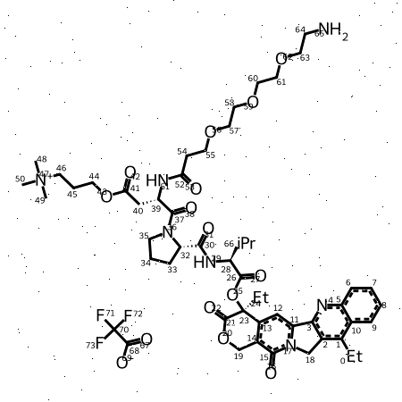 CCc1c2c(nc3ccccc13)-c1cc3c(c(=O)n1C2)COC(=O)[C@@]3(CC)OC(=O)[C@@H](NC(=O)[C@@H]1CCCN1C(=O)[C@H](CC(=O)OCCC[N+](C)(C)C)NC(=O)CCOCCOCCOCCN)C(C)C.O=C([O-])C(F)(F)F